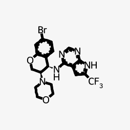 FC(F)(F)c1cc2c(N[C@H]3c4ccc(Br)cc4OC[C@@H]3N3CCOCC3)ncnc2[nH]1